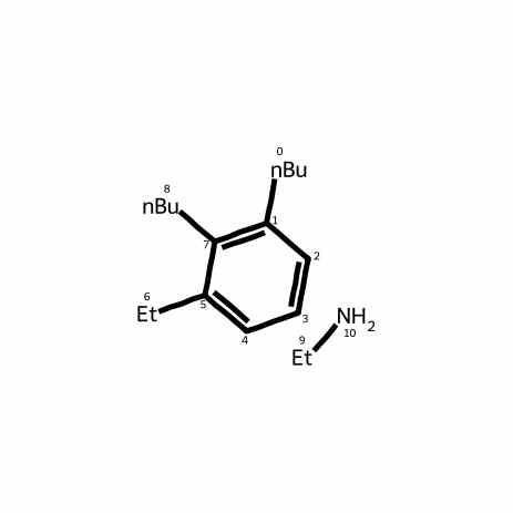 CCCCc1cccc(CC)c1CCCC.CCN